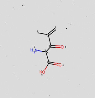 C=C(C)C(=O)C(N)C(=O)O